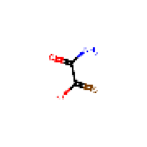 NC(=O)C([O])=S